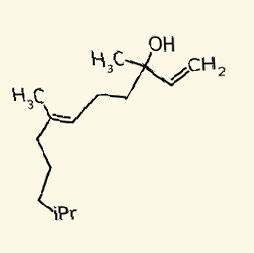 C=CC(C)(O)CCC=C(C)CCCC(C)C